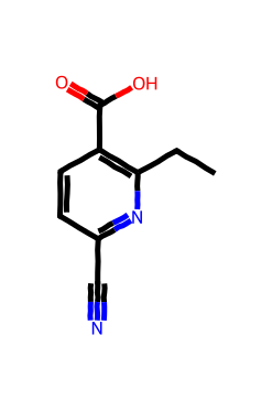 CCc1nc(C#N)ccc1C(=O)O